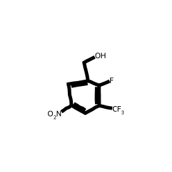 O=[N+]([O-])c1cc(CO)c(F)c(C(F)(F)F)c1